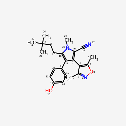 Cc1noc(C)c1-c1c(-c2ccc(O)cc2)c(CCC(C)(C)C)n(C)c1C#N